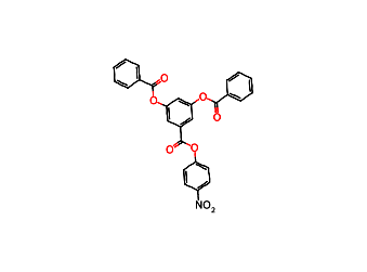 O=C(Oc1cc(OC(=O)c2ccccc2)cc(C(=O)Oc2ccc([N+](=O)[O-])cc2)c1)c1ccccc1